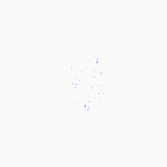 C[C@@H](Cn1cnc(F)c1)Oc1cc(-c2cnc(Nc3cnn(C)c3)nc2)ccc1C#N